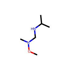 CON(C)CNC(C)C